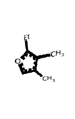 CCc1occ(C)c1C